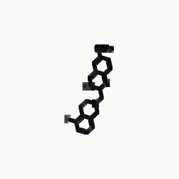 COc1ccc2c(c1)=CNC(CN1CCc3c(F)cccc3C1)N=2